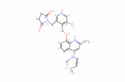 C/C=C\N(CI)c1cc(C)nc2c(OCc3c(Cl)cncc3CN3C(=O)CCC3=O)cccc12